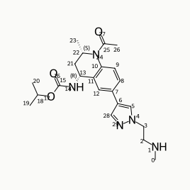 CNCCn1cc(-c2ccc3c(c2)[C@H](NC(=O)OC(C)C)C[C@H](C)N3C(C)=O)cn1